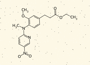 CCOC(=O)CCc1ccc(N(C)c2ccc([N+](=O)[O-])cn2)c(OC)c1